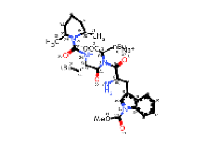 CCCC[C@H](C(=O)[O-])N(C(=O)[C@H](N)Cc1cn(C(=O)OC)c2ccccc12)C(=O)[C@H](CC(C)(C)C)NC(=O)N1[C@H](C)CCC[C@@H]1C.[Na+]